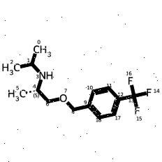 CC(C)N[C@@H](C)COCc1ccc(C(F)(F)F)cc1